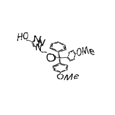 COc1ccc(C(OCCn2cc(CO)nn2)(c2ccccc2)c2ccc(OC)cc2)cc1